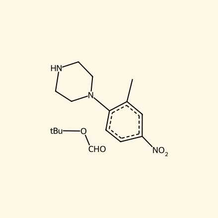 CC(C)(C)OC=O.Cc1cc([N+](=O)[O-])ccc1N1CCNCC1